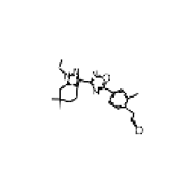 CCn1nc(-c2noc(-c3ccc(CC=O)c(C)c3)n2)c2c1CC(C)(C)CC2